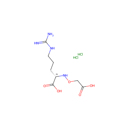 Cl.Cl.N=C(N)NCCC[C@H](NOCC(=O)O)C(=O)O